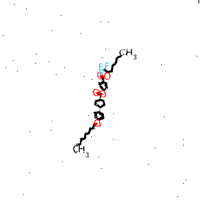 CCCCCCCCCCOc1ccc([C@H]2CC[C@H](C(=O)Oc3ccc(C(=O)OC(CCCCCC)C(F)(F)F)cc3)CC2)cc1